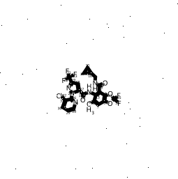 Cc1cc2c(c(C(=O)NCC3CC3)c1NC(=O)c1cc(C(F)(F)F)nn1-c1ncccc1Cl)OC(F)(F)O2